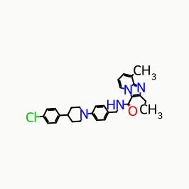 CCc1nc2c(C)cccn2c1C(=O)NCc1ccc(N2CCC(c3ccc(Cl)cc3)CC2)cc1